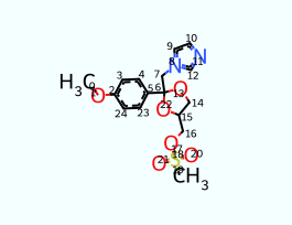 COc1ccc(C2(Cn3ccnc3)OCC(COS(C)(=O)=O)O2)cc1